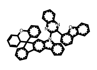 C1=CC2Oc3ccccc3C3(c4ccccc4-c4cc5c6ccccc6n(-c6nc7ccccc7nc6-c6cccc7c6oc6ccccc67)c5cc43)C2C=C1